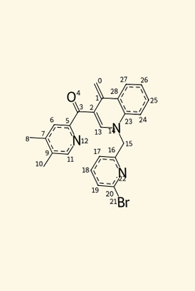 C=C1C(C(=O)c2cc(C)c(C)cn2)=CN(Cc2cccc(Br)n2)c2ccccc21